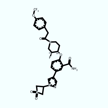 NC(=O)c1cc(-c2cnn(C3CS(=O)(=O)C3)c2)ccc1O[C@@H]1CCN(C(=O)Cc2ccc(OC(F)(F)F)cc2)C[C@@H]1F